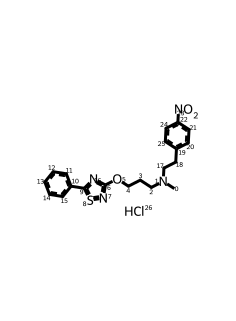 CN(CCCOc1nsc(-c2ccccc2)n1)CCc1ccc([N+](=O)[O-])cc1.Cl